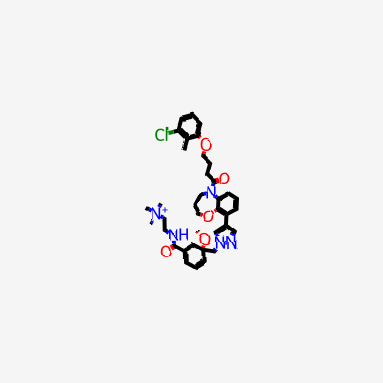 COC1(Cn2cc(-c3cccc4c3OCCCN4C(=O)CCCOc3cccc(Cl)c3C)cn2)C=CC=C(C(=O)NCC[N+](C)(C)C)C1